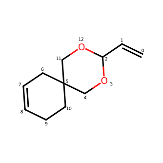 C=CC1OCC2(CC=CCC2)CO1